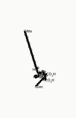 CCCCCCCCCCCCCCCCCCCC(=O)NC(CCC(=O)O)C(=O)N[C@@H](CCC(=O)O)C(=O)N[C@H](C(=O)N[C@@H](CCCCNC(=O)CCOCCOCCOCCOCCOCCOCCOCCOCCOCCOCCOCCOC)C(=O)N1CCN(C)CC1)[C@@H](C)CC